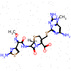 CO/N=C(\C(=O)NC1C(=O)N2C(C(=O)[O-])=C(CSc3nc(N)cc4n(C)c(N)n[n+]34)CS[C@@H]12)c1csc(N)n1